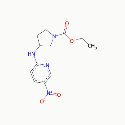 CCOC(=O)N1CCC(Nc2ccc([N+](=O)[O-])cn2)C1